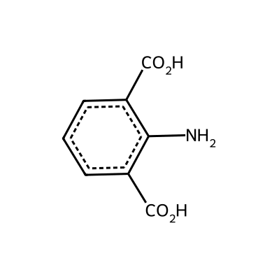 Nc1c(C(=O)O)cccc1C(=O)O